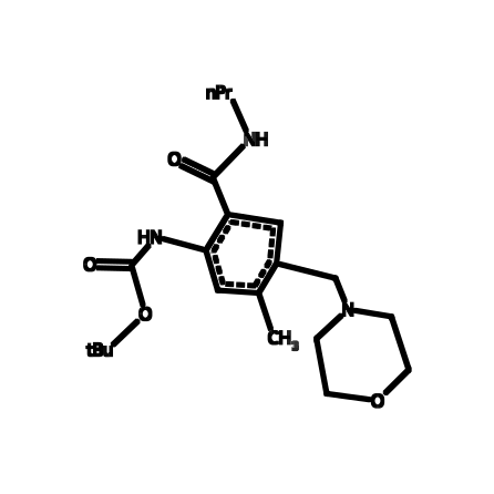 CCCNC(=O)c1cc(CN2CCOCC2)c(C)cc1NC(=O)OC(C)(C)C